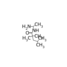 CC(C)CC(C)(C)C(=O)NC(C)N